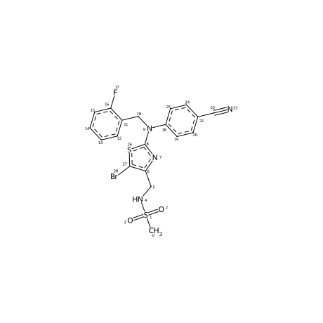 CS(=O)(=O)NCc1nc(N(Cc2ccccc2F)c2ccc(C#N)cc2)sc1Br